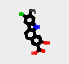 Cc1cc2[nH]c3c(c2cc1Cl)CCc1cc(C(=O)O)c(O)cc1-3